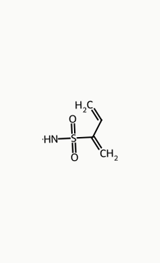 C=CC(=C)S([NH])(=O)=O